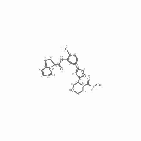 Cc1ccc(-c2noc([C@@H]3COCCN3C(=O)OC(C)(C)C)n2)cc1NC(=O)C1CN=C2C=CC=CN21